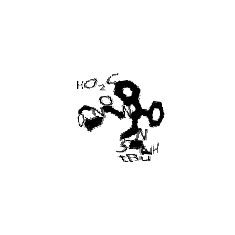 CC(C)(C)Nc1nc(-c2c(C3CCCCC3)c3ccc(C(=O)O)cc3n2CC(=O)N2CCOCC2)cs1